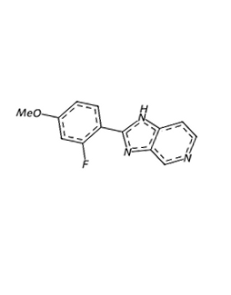 COc1ccc(-c2nc3cnccc3[nH]2)c(F)c1